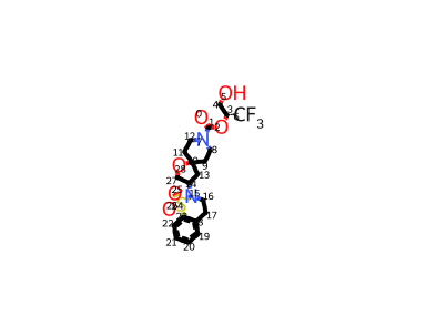 O=C(O[C@H](CO)C(F)(F)F)N1CCC2(CC1)CC(N1CCc3ccccc3S1(=O)=O)CO2